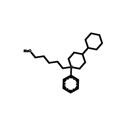 COCCCCC[Si]1(c2ccccc2)CCC(C2CCCCC2)CC1